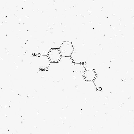 COc1cc2c(cc1OC)/C(=N/Nc1ccc(N=O)cc1)CCC2